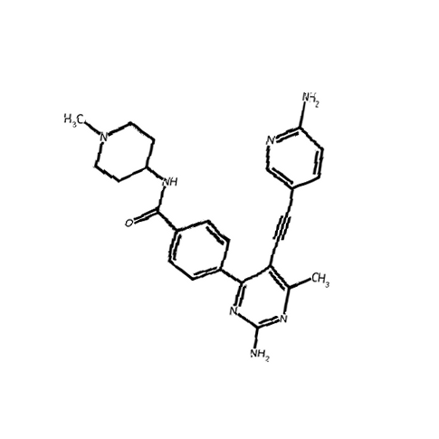 Cc1nc(N)nc(-c2ccc(C(=O)NC3CCN(C)CC3)cc2)c1C#Cc1ccc(N)nc1